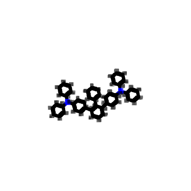 c1ccc(-c2c(-c3ccc(N(c4ccccc4)c4ccccc4)cc3)cccc2-c2ccc(N(c3ccccc3)c3ccccc3)cc2)cc1